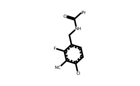 CC(C)C(=O)NCc1ccc(Cl)c(C#N)c1F